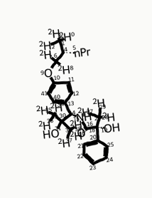 [2H]C([2H])([2H])[C@H](CCC)C([2H])([2H])Oc1ccc([C@@H](NC(=O)[C@](O)(c2ccccc2)C([2H])([2H])[2H])C(O)(C([2H])([2H])[2H])C([2H])([2H])[2H])cc1